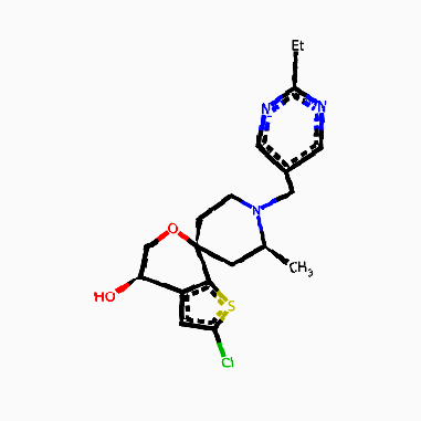 CCc1ncc(CN2CC[C@]3(C[C@@H]2C)OC[C@H](O)c2cc(Cl)sc23)cn1